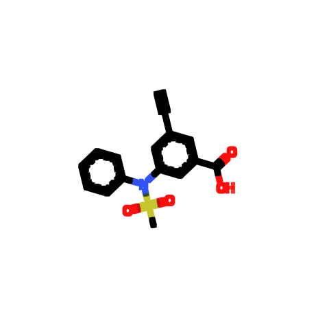 C#Cc1cc(C(=O)O)cc(N(c2ccccc2)S(C)(=O)=O)c1